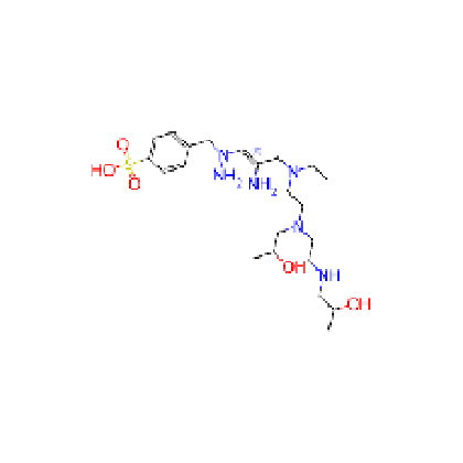 CCN(CCN(CCNCC(C)O)CC(C)O)C/C(N)=C/N(N)Cc1ccc(S(=O)(=O)O)cc1